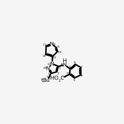 CC(C)(C)c1cc(Nc2ccccc2C(=O)O)n(-c2ccncc2)n1